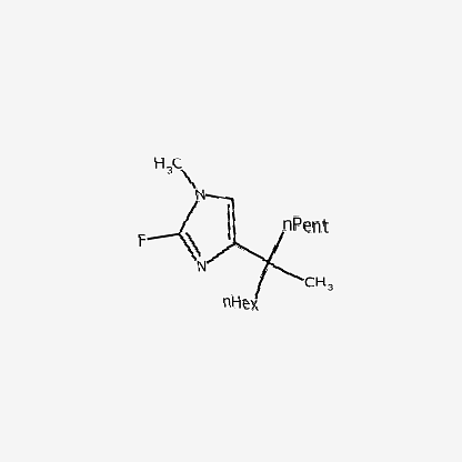 CCCCCCC(C)(CCCCC)c1cn(C)c(F)n1